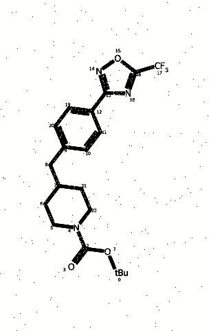 CC(C)(C)OC(=O)N1CCC(Cc2ccc(-c3noc(C(F)(F)F)n3)cc2)CC1